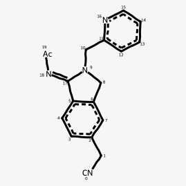 [C-]#[N+]Cc1ccc2c(c1)CN(Cc1ccccn1)C2=NC(C)=O